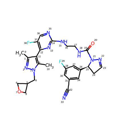 Cc1nn(CC2COC2)c(C)c1-c1nc(NCCNC(=O)N2N=CC[C@H]2c2cc(F)cc(C#N)c2)ncc1F